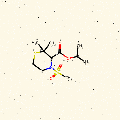 CC(C)OC(=O)C1N(S(C)(=O)=O)CCSC1(C)C